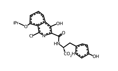 CC(C)Oc1cccc2c(O)c(C(=O)N[C@@H](Cc3ccc(O)cc3)C(=O)O)nc(Cl)c12